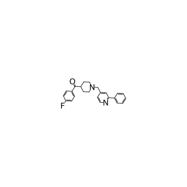 O=C(c1ccc(F)cc1)C1CCN(Cc2ccnc(-c3ccccc3)c2)CC1